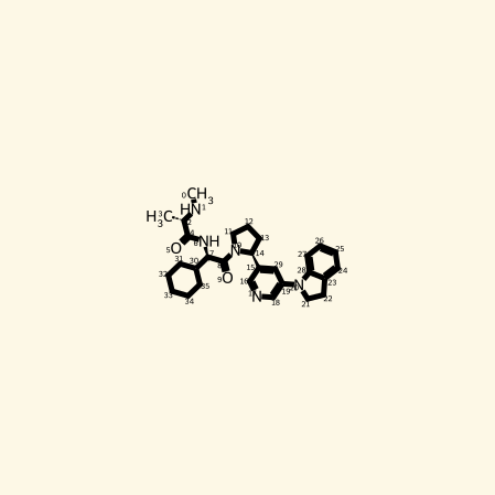 CN[C@@H](C)C(=O)N[C@@H](C(=O)N1CCC[C@H]1c1cncc(N2CCc3ccccc32)c1)C1CCCCC1